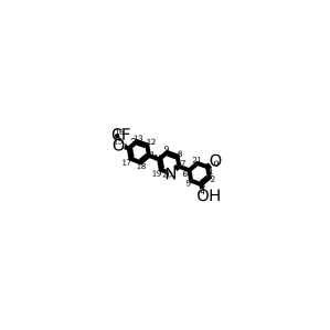 O=C1C=C(O)CC(c2ccc(-c3ccc(OC(F)(F)F)cc3)cn2)C1